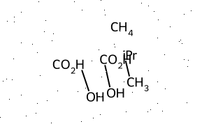 C.CC(C)C.O=C(O)O.O=C(O)O